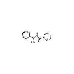 C1=C(c2ccccc2)NC(c2ccccc2)N1